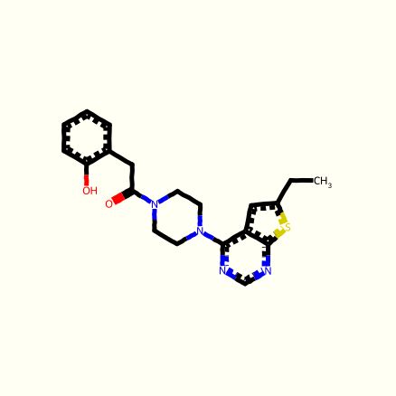 CCc1cc2c(N3CCN(C(=O)Cc4ccccc4O)CC3)ncnc2s1